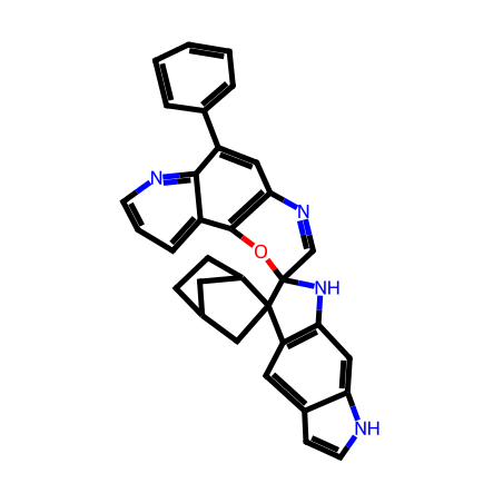 C1=Nc2cc(-c3ccccc3)c3ncccc3c2OC12Nc1cc3[nH]ccc3cc1C21CC2CCC1C2